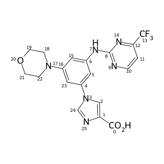 O=C(O)c1cn(-c2cc(Nc3nccc(C(F)(F)F)n3)cc(N3CCOCC3)c2)cn1